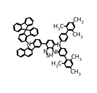 Cc1cc(C)c(-c2ccc(N(C3=CC=C(c4ccc5c(c4)c4ccc6ccccc6c4n5-c4cccc5c4-c4ccccc4C54c5ccccc5-c5ccccc54)/C(=N/S)C3=N)c3ccc(-c4c(C)cc(C)cc4C)cc3)cc2)c(C)c1